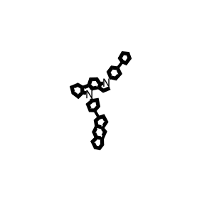 c1ccc(-c2ccc(-n3ccc4c3ccc3c5ccccc5n(-c5ccc(-c6ccc7cc8ccccc8cc7c6)cc5)c34)cc2)cc1